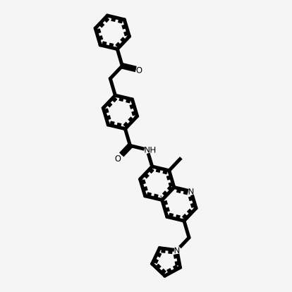 Cc1c(NC(=O)c2ccc(CC(=O)c3ccccc3)cc2)ccc2cc(Cn3cccc3)cnc12